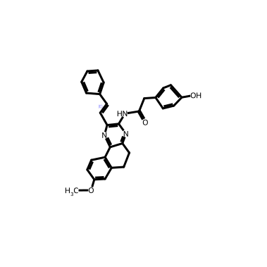 COc1ccc2c(c1)CCc1nc(NC(=O)Cc3ccc(O)cc3)c(/C=C/c3ccccc3)nc1-2